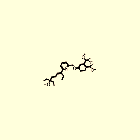 CC/C(=C\CCC(O)(CC)CC)c1cccc(COc2ccc(C(=O)OC)c(C(=O)OC)c2)n1